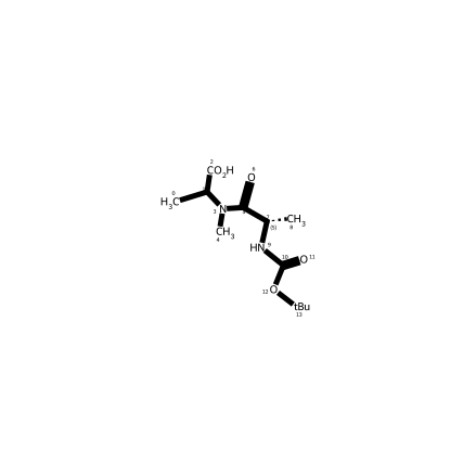 CC(C(=O)O)N(C)C(=O)[C@H](C)NC(=O)OC(C)(C)C